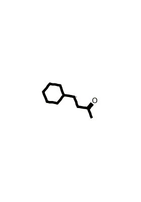 CC(=O)C[CH]C1CCCCC1